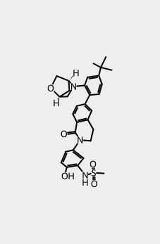 CC(C)(C)c1ccc(-c2ccc3c(c2)CCN(c2ccc(O)c(NS(C)(=O)=O)c2)C3=O)c(N2C[C@@H]3C[C@H]2CO3)c1